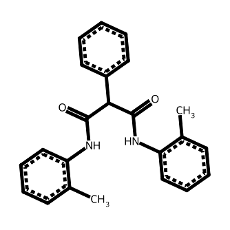 Cc1ccccc1NC(=O)C(C(=O)Nc1ccccc1C)c1ccccc1